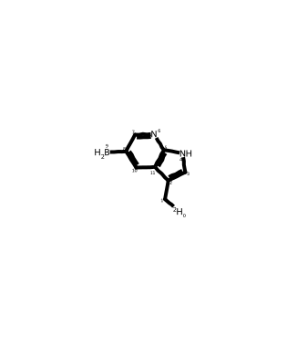 [2H]Cc1c[nH]c2ncc(B)cc12